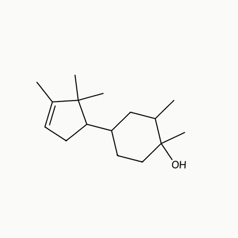 CC1=CCC(C2CCC(C)(O)C(C)C2)C1(C)C